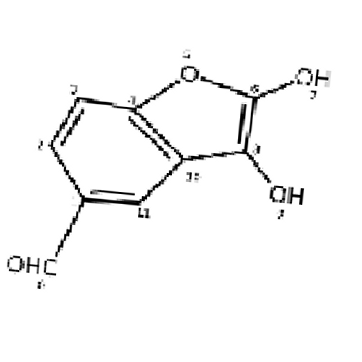 O=Cc1ccc2oc(O)c(O)c2c1